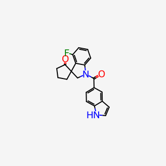 O=C(c1ccc2[nH]ccc2c1)N1CC2(CCCC2=O)c2c(F)cccc21